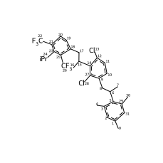 Cc1cc(C)c(C(C)Cc2ccc(Cl)c(C(C)Cc3ccc(C(F)(F)F)c(C(C)C)c3C(F)(F)F)c2Cl)c(C)c1